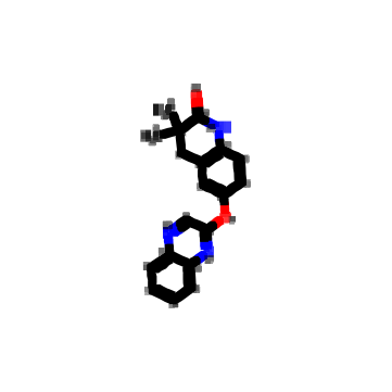 CC1(C)Cc2cc(Oc3cnc4ccccc4n3)ccc2NC1=O